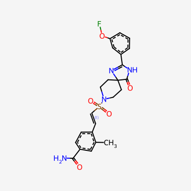 Cc1cc(C(N)=O)ccc1/C=C/S(=O)(=O)N1CCC2(CC1)N=C(c1cccc(OF)c1)NC2=O